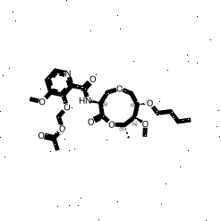 CCCCO[C@H]1COC[C@H](NC(=O)c2nccc(OC)c2OCOC(C)=O)C(=O)O[C@@H](C)[C@@H]1OC